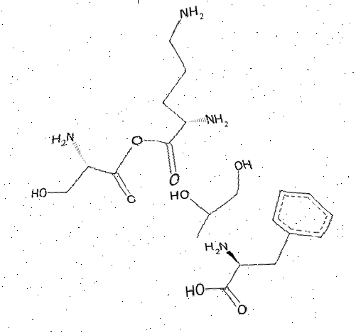 CC(O)CO.NCCC[C@H](N)C(=O)OC(=O)[C@@H](N)CO.N[C@@H](Cc1ccccc1)C(=O)O